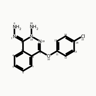 N/N=c1/c2ccccc2c(Oc2ccc(Cl)cc2)nn1N